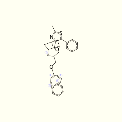 Cc1nc(C(=O)/C2=C\C(COC3=C/C=c4/cccc/c4=C\C=C\3)CC3CC(C2)C3)c(-c2ccccc2)s1